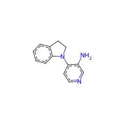 Nc1cnccc1N1CCc2ccccc21